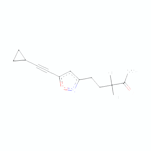 CNC(=O)C(C)(C)CCc1cc(C#CC2CC2)on1